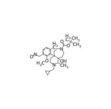 COc1c(CN=O)ccc(C)c1C12CCN(C(=O)OC(C)(C)C)CCC1(O)C(C)N(CC1CC1)CC2